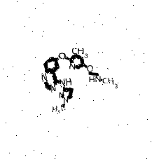 CNCCOc1cnc(Oc2ccc3ncnc(Nc4ccn(C)n4)c3c2)c(C)c1